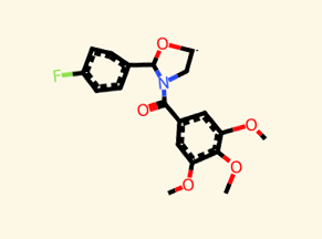 COc1cc(C(=O)N2C[CH]OC2c2ccc(F)cc2)cc(OC)c1OC